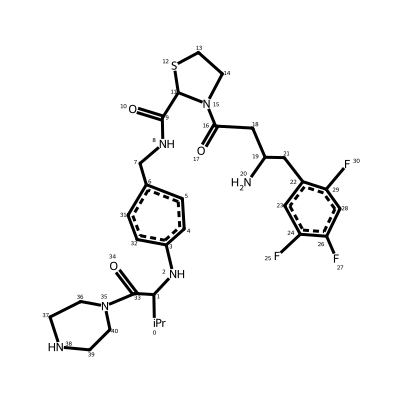 CC(C)C(Nc1ccc(CNC(=O)C2SCCN2C(=O)CC(N)Cc2cc(F)c(F)cc2F)cc1)C(=O)N1CCNCC1